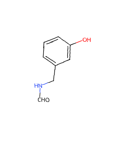 O=CNCc1cccc(O)c1